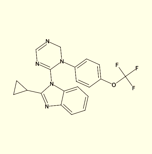 FC(F)(F)Oc1ccc(N2CN=CN=C2n2c(C3CC3)nc3ccccc32)cc1